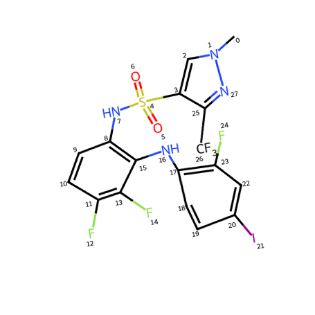 Cn1cc(S(=O)(=O)Nc2ccc(F)c(F)c2Nc2ccc(I)cc2F)c(C(F)(F)F)n1